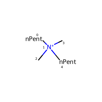 CCCCC[N+](C)(C)CCCCC